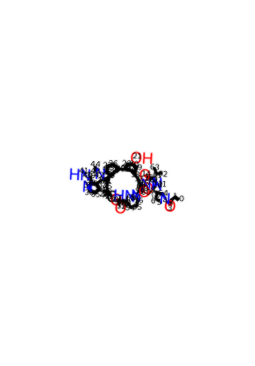 C=CC(=O)N1CC[C@H](C(=O)N(C)[C@H](C(=O)N[C@H]2Cc3cc(O)cc(c3)-c3ccc4c(c3)c(c(-c3cccnc3CNC)n4CC)CC(C)(C)COC(=O)[C@@H]3CCCN(N3)C2=O)C(C)C)C1